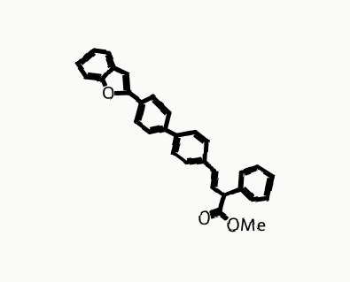 COC(=O)C(C=Cc1ccc(-c2ccc(-c3cc4ccccc4o3)cc2)cc1)c1ccccc1